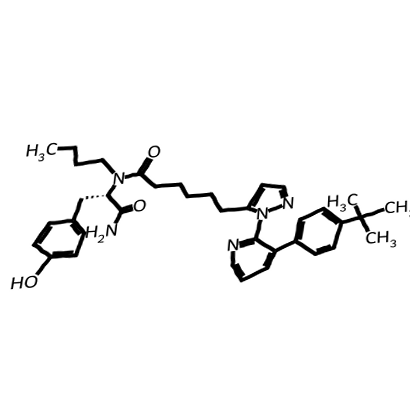 CCCCN(C(=O)CCCCCc1ccnn1-c1ncccc1-c1ccc(C(C)(C)C)cc1)[C@@H](Cc1ccc(O)cc1)C(N)=O